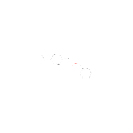 C=Cc1ccc(COCc2ccccc2)cc1